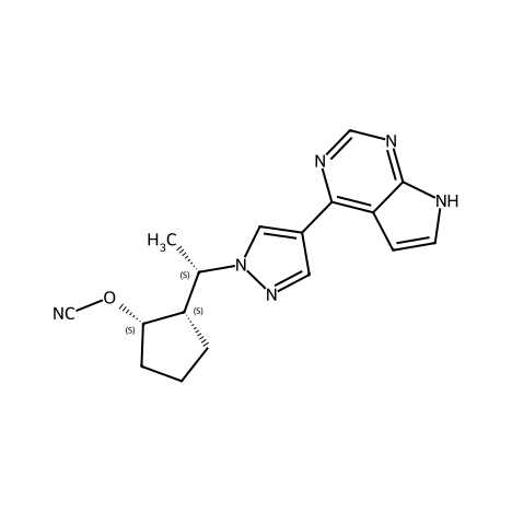 C[C@@H]([C@@H]1CCC[C@@H]1OC#N)n1cc(-c2ncnc3[nH]ccc23)cn1